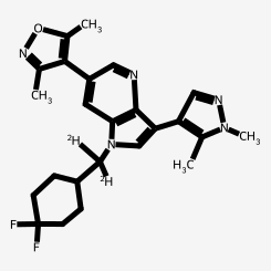 [2H]C([2H])(C1CCC(F)(F)CC1)n1cc(-c2cnn(C)c2C)c2ncc(-c3c(C)noc3C)cc21